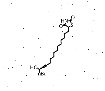 CCCCC(O)C#CCCCCCCCCCCCC1SC(=O)NC1=O